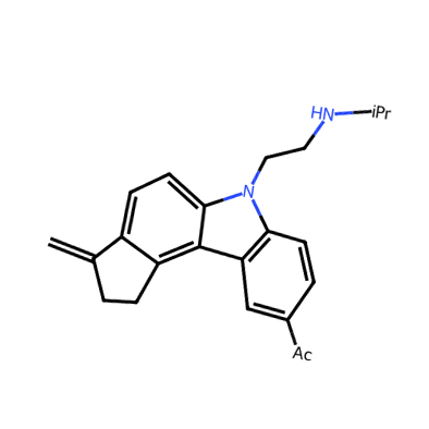 C=C1CCc2c1ccc1c2c2cc(C(C)=O)ccc2n1CCNC(C)C